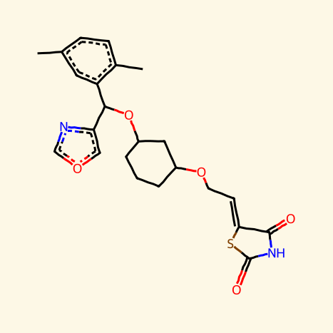 Cc1ccc(C)c(C(OC2CCCC(OC/C=C3\SC(=O)NC3=O)C2)c2cocn2)c1